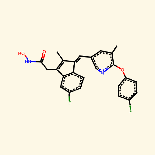 CC1=C(CC(=O)NO)c2cc(F)ccc2/C1=C\c1cnc(Oc2ccc(F)cc2)c(C)c1